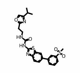 CC(C)c1coc(CCNC(=O)Nc2nc3ccc(-c4cccc(S(C)(=O)=O)c4)cc3s2)n1